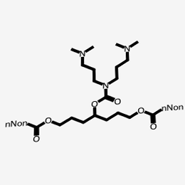 CCCCCCCCCC(=O)OCCCC(CCCOC(=O)CCCCCCCCC)OC(=O)N(CCCN(C)C)CCCN(C)C